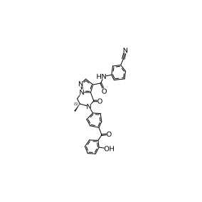 C[C@H]1Cn2ncc(C(=O)Nc3cccc(C#N)c3)c2C(=O)N1c1ccc(C(=O)c2ccccc2O)cc1